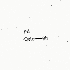 [Co].[Mo][Rh].[Pd]